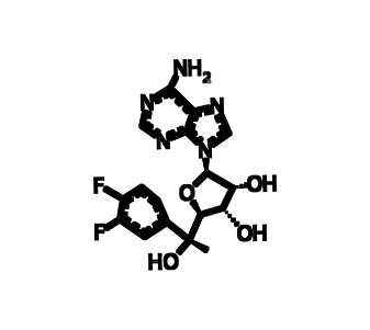 C[C@@](O)(c1ccc(F)c(F)c1)[C@H]1O[C@@H](n2cnc3c(N)ncnc32)[C@H](O)[C@@H]1O